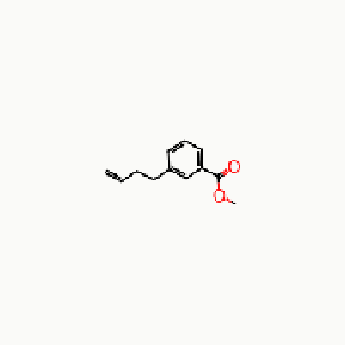 C=CCCc1cccc(C(=O)OC)c1